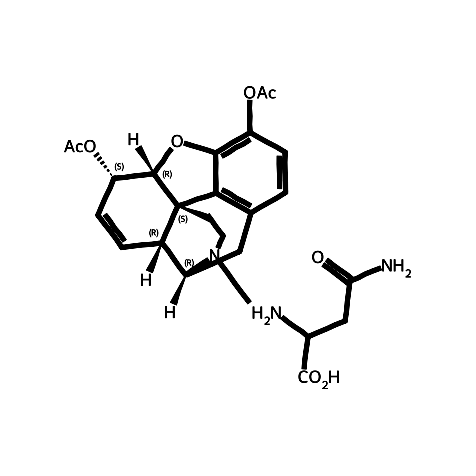 CC(=O)Oc1ccc2c3c1O[C@H]1[C@@H](OC(C)=O)C=C[C@H]4[C@@H](C2)N(C)CC[C@@]341.NC(=O)CC(N)C(=O)O